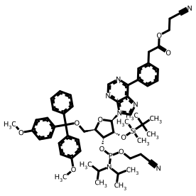 COc1ccc(C(OC[C@H]2O[C@@H](n3cnc4c(-c5cccc(CC(=O)OCCC#N)c5)ncnc43)[C@H](O[Si](C)(C)C(C)(C)C)[C@@H]2OP(OCCC#N)N(C(C)C)C(C)C)(c2ccccc2)c2ccc(OC)cc2)cc1